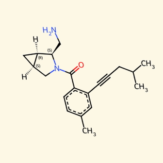 Cc1ccc(C(=O)N2C[C@H]3C[C@H]3[C@H]2CN)c(C#CCC(C)C)c1